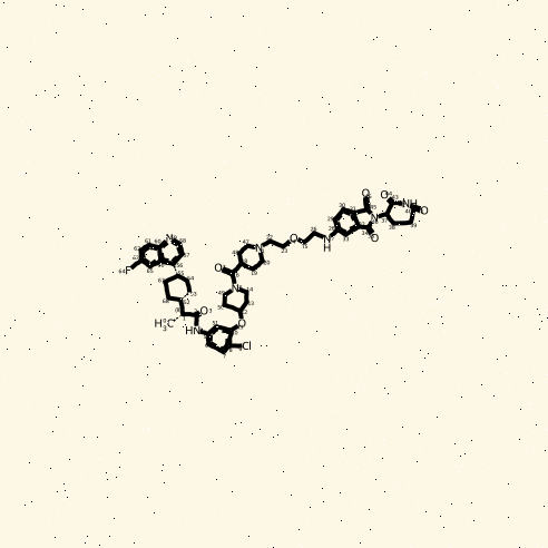 C[C@@H](C(=O)Nc1ccc(Cl)c(OC2CCN(C(=O)C3CCN(CCOCCNc4ccc5c(c4)C(=O)N(C4CCC(=O)NC4=O)C5=O)CC3)CC2)c1)[C@H]1CC[C@@H](c2ccnc3ccc(F)cc32)CC1